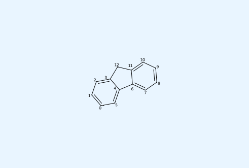 [c]1ccc2c(c1)-c1ccccc1C2